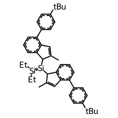 CC[Si](CC)=[Si](C1C(C)=Cc2c(-c3ccc(C(C)(C)C)cc3)cccc21)C1C(C)=Cc2c(-c3ccc(C(C)(C)C)cc3)cccc21